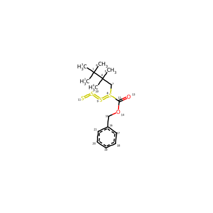 CC(C)(C)C(C)(C)CS(=S=S=S)C(=O)OCc1ccccc1